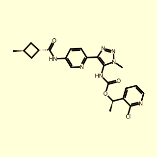 C[C@@H](OC(=O)Nc1c(-c2ccc(NC(=O)[C@H]3C[C@H](C)C3)cn2)nnn1C)c1cccnc1Cl